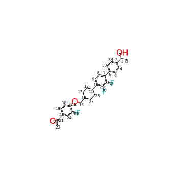 CC(O)c1ccc(-c2ccc(C3CCC(COc4ccc(C5CO5)cc4F)CC3)c(F)c2F)cc1